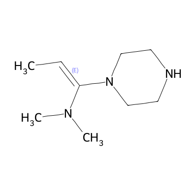 C/C=C(\N(C)C)N1CCNCC1